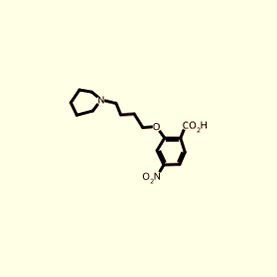 O=C(O)c1ccc([N+](=O)[O-])cc1OCCCCN1CCCCC1